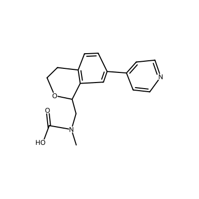 CN(CC1OCCc2ccc(-c3ccncc3)cc21)C(=O)O